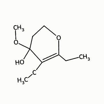 CCC1=C(CC)C(O)(OC)CCO1